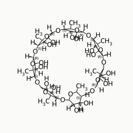 CC1O[C@@H]2O[C@@H]3C(C)OC(O[C@@H]4C(C)OC(O[C@@H]5C(C)O[C@H](O[C@@H]6C(C)O[C@H](O[C@@H]7C(C)O[C@H](O[C@@H]8C(C)O[C@H](OC1[C@H](O)C2O)C(O)[C@H]8O)C(O)[C@H]7O)C(O)[C@H]6O)C(O)[C@H]5O)[C@@H](O)[C@H]4O)[C@@H](O)[C@H]3O